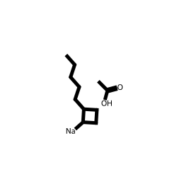 CC(=O)O.CCCCCC1CC[CH]1[Na]